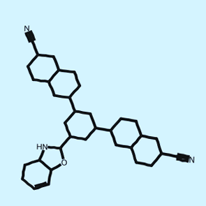 N#CC1CCC2CC(C3CC(C4CCC5CC(C#N)CCC5C4)CC(C4NC5CCC=CC5O4)C3)CCC2C1